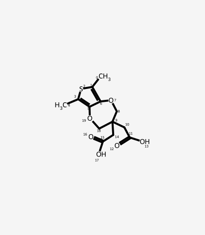 Cc1sc(C)c2c1OCC(CC(=O)O)(CC(=O)O)CO2